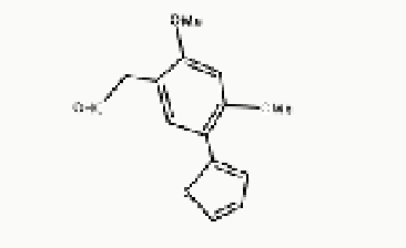 COc1cc(OC)c(-c2cccs2)cc1CC=O